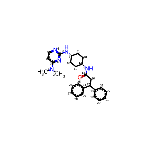 CN(C)c1ccnc(N[C@H]2CC[C@@H](NC(=O)CC(c3ccccc3)c3ccccc3)CC2)n1